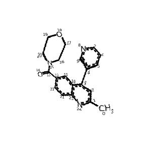 Cc1cc(-c2cccnc2)c2cc(C(=O)N3CCOCC3)ccc2n1